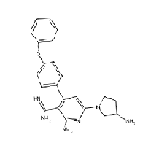 N=C(N)c1c(-c2ccc(Oc3ccccc3)cc2)cc(N2CCC(N)C2)nc1N